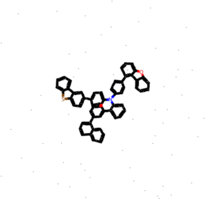 c1cc(-c2ccccc2N(c2ccc(-c3ccc4sc5ccccc5c4c3)cc2)c2ccc(-c3cccc4oc5ccccc5c34)cc2)cc(-c2cccc3ccccc23)c1